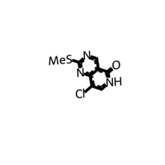 CSc1ncc2c(=O)[nH]cc(Cl)c2n1